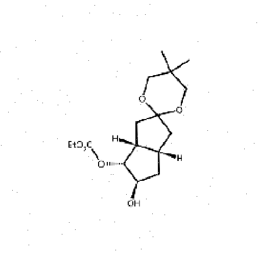 CCOC(=O)O[C@@H]1[C@@H]2CC3(C[C@@H]2C[C@H]1O)OCC(C)(C)CO3